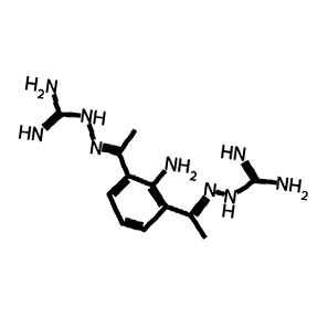 CC(=NNC(=N)N)c1cccc(C(C)=NNC(=N)N)c1N